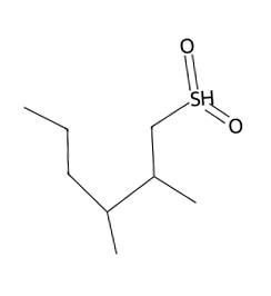 CCCC(C)C(C)C[SH](=O)=O